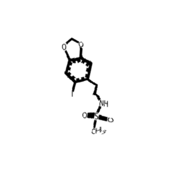 CS(=O)(=O)NCCc1cc2c(cc1I)OCO2